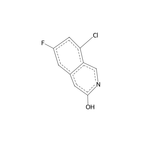 Oc1cc2cc(F)cc(Cl)c2cn1